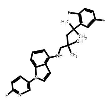 CC(C)(CC(O)(CNc1cccc2c1ccn2-c1ccc(F)nc1)C(F)(F)F)c1cc(F)ccc1F